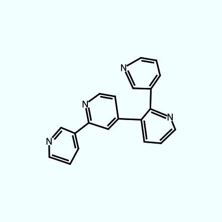 c1cncc(-c2cc(-c3cccnc3-c3cccnc3)ccn2)c1